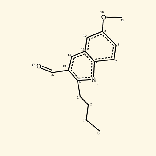 CCCCc1nc2ccc(OC)cc2cc1C=O